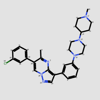 Cc1nc2c(-c3cccc(N4CCN(C5CCN(C)CC5)CC4)c3)cnn2[c]c1-c1cccc(Cl)c1